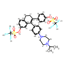 CC(C)N1CCN(c2ccc(C3=C(c4ccc(OS(=O)(=O)C(F)(F)F)cc4)CCc4ccc(OS(=O)(=O)C(F)(F)F)cc43)cc2)CC1